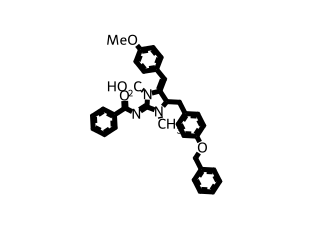 COc1ccc(C=C2C(Cc3ccc(OCc4ccccc4)cc3)N(C)C(=NC(=O)c3ccccc3)N2C(=O)O)cc1